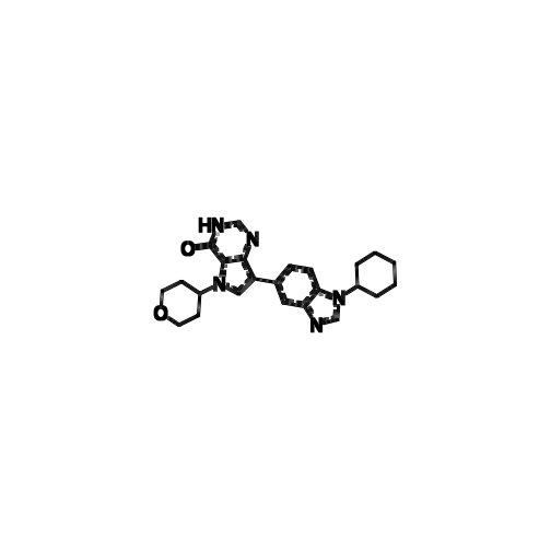 O=c1[nH]cnc2c(-c3ccc4c(c3)ncn4C3CCCCC3)cn(C3CCOCC3)c12